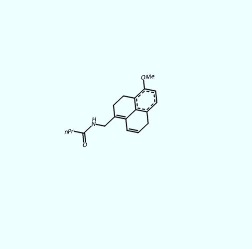 CCCC(=O)NCC1=C2C=CCc3ccc(OC)c(c32)CC1